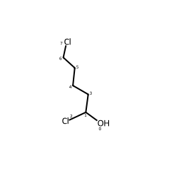 OC(Cl)CCCCCl